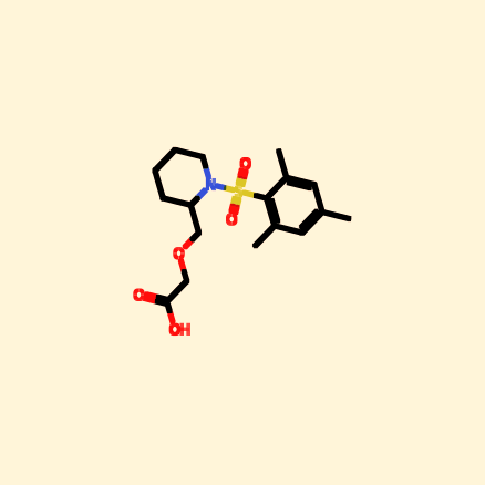 Cc1cc(C)c(S(=O)(=O)N2CCCCC2COCC(=O)O)c(C)c1